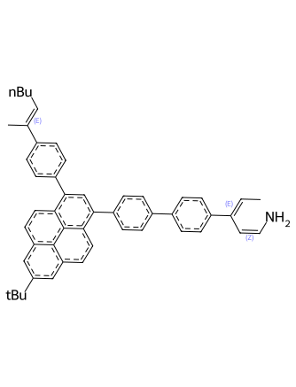 C/C=C(\C=C/N)c1ccc(-c2ccc(-c3cc(-c4ccc(/C(C)=C/CCCC)cc4)c4ccc5cc(C(C)(C)C)cc6ccc3c4c56)cc2)cc1